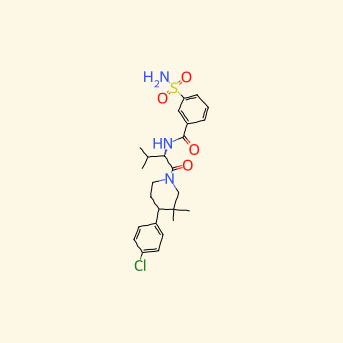 CC(C)[C@@H](NC(=O)c1cccc(S(N)(=O)=O)c1)C(=O)N1CCC(c2ccc(Cl)cc2)C(C)(C)C1